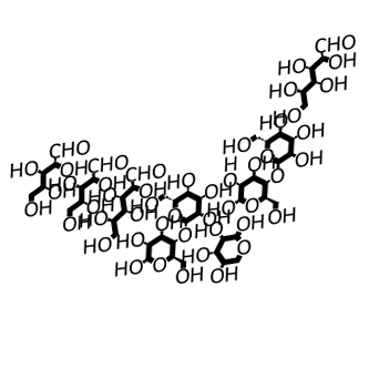 O=C[C@@H](O)[C@@H](O)[C@H](O)[C@H](O)CO.O=C[C@@H](O)[C@H](O)[C@H](O)CO.O=C[C@H](O)[C@@H](O)[C@H](O)[C@H](O)CO.O=C[C@H](O)[C@H](O)[C@H](O)CO.OC1OC[C@@H](O)[C@H](O)[C@H]1O.OC[C@H]1O[C@@H](O[C@H]2[C@H](O)[C@@H](O)[C@H](O)O[C@@H]2CO)[C@H](O)[C@@H](O)[C@H]1O.OC[C@H]1O[C@H](O[C@H]2[C@H](O)[C@@H](O)[C@H](O)O[C@@H]2CO)[C@H](O)[C@@H](O)[C@@H]1O